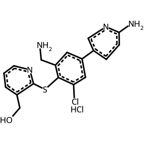 Cl.NCc1cc(-c2ccc(N)nc2)cc(Cl)c1Sc1ncccc1CO